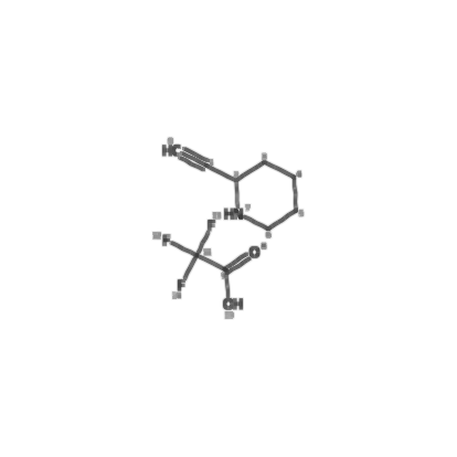 C#CC1CCCCN1.O=C(O)C(F)(F)F